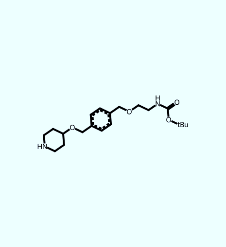 CC(C)(C)OC(=O)NCCOCc1ccc(COC2CCNCC2)cc1